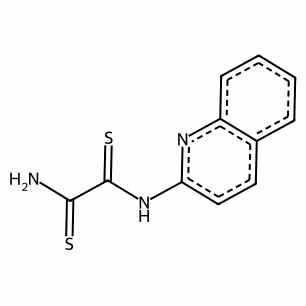 NC(=S)C(=S)Nc1ccc2ccccc2n1